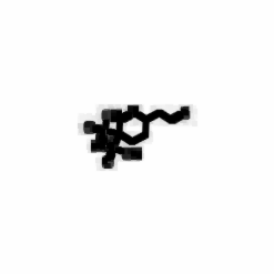 O=P(O)(O)C1(P(=O)(O)O)C=NC(CC=S)CC1